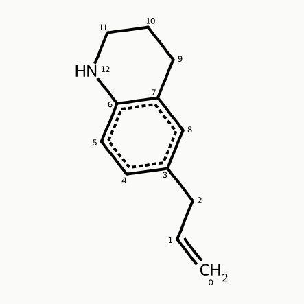 C=CCc1ccc2c(c1)CCCN2